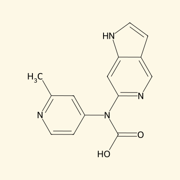 Cc1cc(N(C(=O)O)c2cc3[nH]ccc3cn2)ccn1